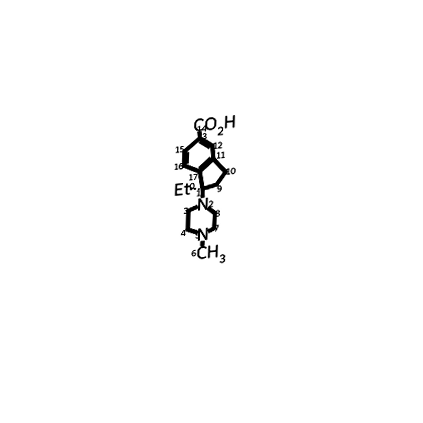 CC[C@@]1(N2CCN(C)CC2)CCc2cc(C(=O)O)ccc21